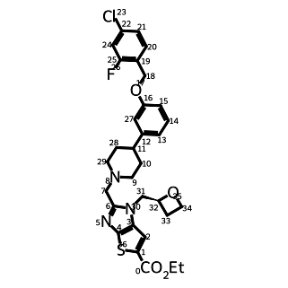 CCOC(=O)c1cc2c(nc(CN3CCC(c4cccc(OCc5ccc(Cl)cc5F)c4)CC3)n2C[C@@H]2CCO2)s1